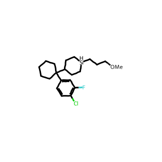 COCCC[SiH]1CCC(C2(c3ccc(Cl)c(F)c3)CCCCC2)CC1